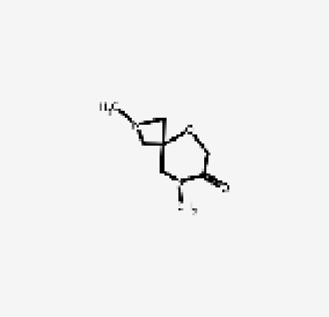 CN1CC2(C1)CN(C)C(=O)CO2